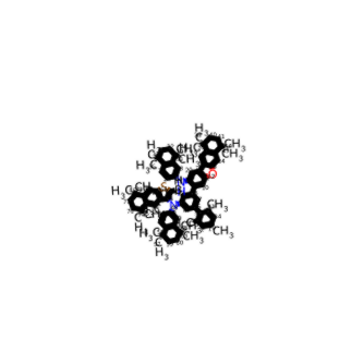 Cc1cc(C)c(-c2cc(-c3cc4oc5cc6c(cc5c4cc3Nc3ccc4c(c3)C(C)(C)CCC4(C)C)C(C)(C)CCC6(C)C)c3c(c2)N(c2cc4c(cc2C)C(C)(C)CCC4(C)C)c2c(sc4cc5c(cc24)C(C)(C)CCC5(C)C)B3)c(C)c1